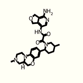 CC1CCC(c2ccc3c(c2)OC[C@H]2CN(C)CCN32)N(C(=O)C(=O)Nc2cnc(N)c3c2COC3)C1